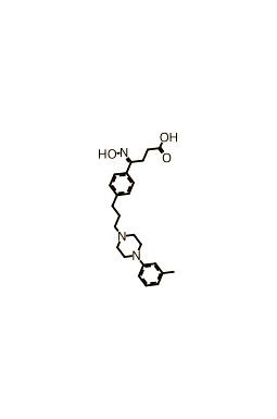 Cc1cccc(N2CCN(CCCc3ccc(/C(CCC(=O)O)=N\O)cc3)CC2)c1